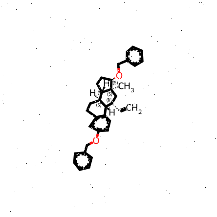 C=C[C@H]1C[C@]2(C)[C@@H](OCc3ccccc3)CC[C@H]2[C@@H]2CCc3cc(OCc4ccccc4)ccc3[C@H]21